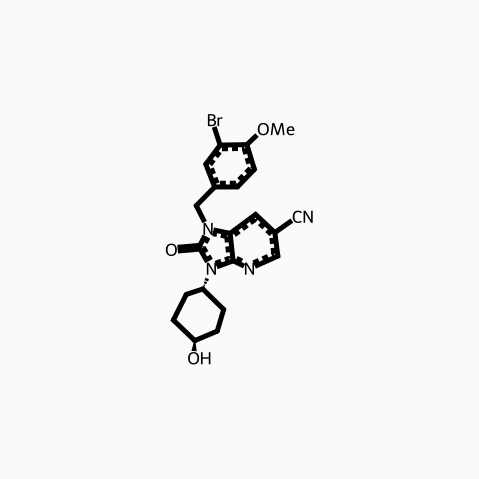 COc1ccc(Cn2c(=O)n([C@H]3CC[C@H](O)CC3)c3ncc(C#N)cc32)cc1Br